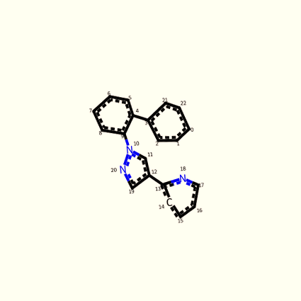 c1ccc(-c2ccccc2-n2cc(-c3ccccn3)cn2)cc1